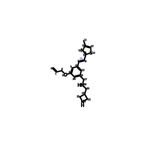 C=CCOc1cc(/C=C/c2nc(C)cs2)cc(CNCC2CNC2)c1